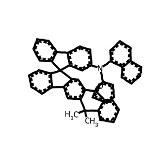 CC1(C)c2ccccc2C(=O)c2cc3c(cc21)-c1ccccc1C31c2ccccc2-c2ccc(N(c3ccccc3)c3cccc4ccccc34)cc21